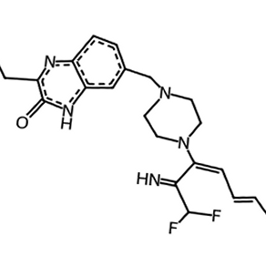 C/C=C/C=C(\C(=N)C(F)F)N1CCN(Cc2ccc3nc(CC)c(=O)[nH]c3c2)CC1